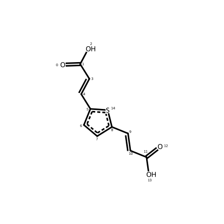 O=C(O)/C=C/c1ccc(/C=C/C(=O)O)s1